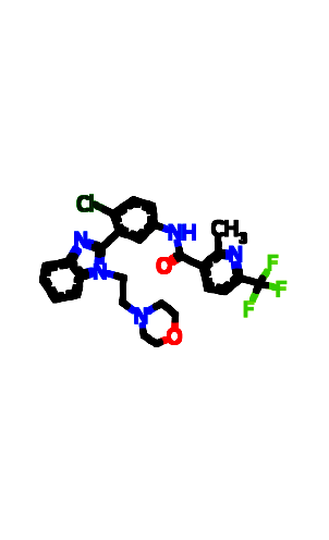 Cc1nc(C(F)(F)F)ccc1C(=O)Nc1ccc(Cl)c(-c2nc3ccccc3n2CCN2CCOCC2)c1